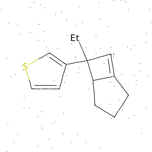 CCC1(c2ccsc2)[C]=C2CCCC21